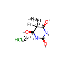 CCC1(CC)C(=O)[N-]C(=O)[N-]C1=O.Cl.[Na+].[Na+]